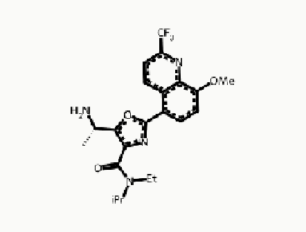 CCN(C(=O)c1nc(-c2ccc(OC)c3nc(C(F)(F)F)ccc23)oc1[C@H](C)N)C(C)C